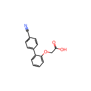 N#Cc1ccc(-c2ccccc2OCC(=O)O)cc1